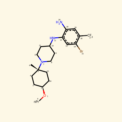 CCCO[C@H]1CC[C@](C)(N2CCC(Nc3cc(Br)c(C(F)(F)F)cc3N)CC2)CC1